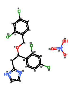 Clc1ccc(COC(Cc2ncc[nH]2)c2ccc(Cl)cc2Cl)c(Cl)c1.O=[N+]([O-])O